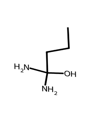 CCCC(N)(N)O